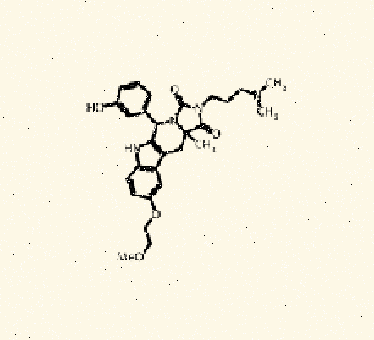 COCCOc1ccc2[nH]c3c(c2c1)CC1(C)C(=O)N(CCCN(C)C)C(=O)N1C3c1cccc(O)c1